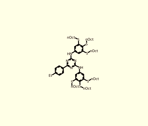 CCCCCCCCSc1cc(Nc2nc(Nc3cc(SCCCCCCCC)c(SCCCCCCCC)c(SCCCCCCCC)c3)nc(-c3ccc(CC)cc3)n2)cc(SCCCCCCCC)c1SCCCCCCCC